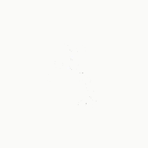 C/C(=N\C(=N/[C@@H](C)c1ccc2c(c1)oc1ccc(-n3c4ccccc4c4ccccc43)cc12)c1cccc(-c2ccccc2)c1)n1c2ccccc2c2ccccc21